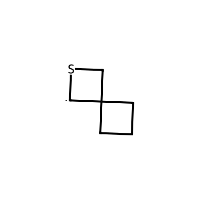 [CH]1SCC12CCC2